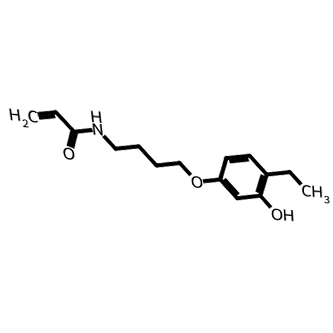 C=CC(=O)NCCCCOc1ccc(CC)c(O)c1